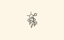 CC1C(=O)N(OS(=O)(=O)C(F)(F)F)C(=O)C1C